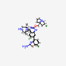 Nc1nc2c(-c3cc4nc(OC[C@@]56CCCN5C[C@H](F)C6)nc(N5[C@@H]6CC[C@H]5CNC6)c4cc3F)ccc(F)c2s1